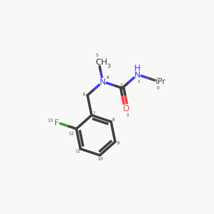 CC(C)NC(=O)N(C)Cc1ccccc1F